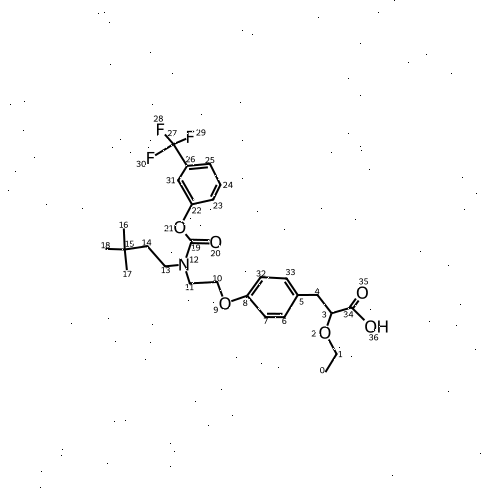 CCOC(Cc1ccc(OCCN(CCC(C)(C)C)C(=O)Oc2cccc(C(F)(F)F)c2)cc1)C(=O)O